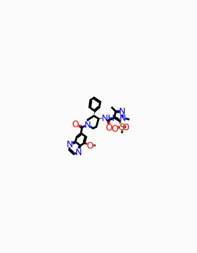 COc1cc(C(=O)N2CC[C@@H](NC(=O)c3c(C)nn(C)c3S(C)(=O)=O)[C@@H](c3ccccc3)C2)cc2nccnc12